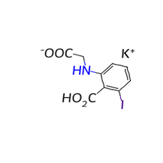 O=C([O-])CNc1cccc(I)c1C(=O)O.[K+]